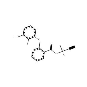 C#C[C@](C)(CC)NC(=O)c1cccnc1Nc1cccc(OC)c1F